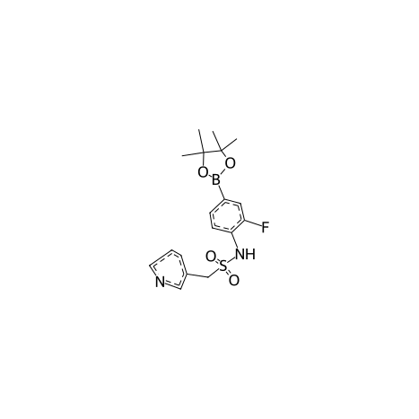 CC1(C)OB(c2ccc(NS(=O)(=O)Cc3cccnc3)c(F)c2)OC1(C)C